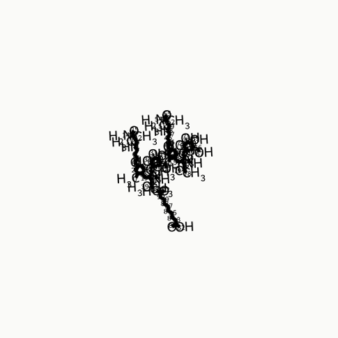 Cc1cc(OCCCNCC(C)(C)C(N)=O)ccc1Cc1c(OC2O[C@H](CO)[C@@H](O)[C@H](O)[C@H]2O)n[nH]c1C(C)C.Cc1cc(OCCCNCC(C)(C)C(N)=O)ccc1Cc1c(OC2O[C@H](CO)[C@@H](O)[C@H](O)[C@H]2O)n[nH]c1C(C)C.O=C(O)CCCCCCCCC(=O)O